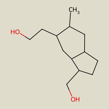 CC1CC2CCC(CO)C2CC1CCO